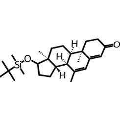 CC1=CC2=CC(=O)CC[C@]2(C)[C@@H]2CC[C@]3(C)C(O[Si](C)(C)C(C)(C)C)CC[C@H]3[C@H]12